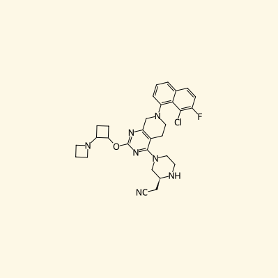 N#CC[C@H]1CN(c2nc(OC3CCC3N3CCC3)nc3c2CCN(c2cccc4ccc(F)c(Cl)c24)C3)CCN1